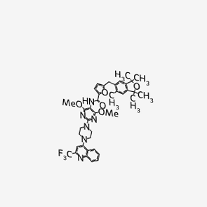 COc1nc(N2CCN(c3cc(C(F)(F)F)nc4ccccc34)CC2)nc(OC)c1NC(=O)c1ccc(Cc2cc3c(cc2C)C(C)(C)OC3(C)C)o1